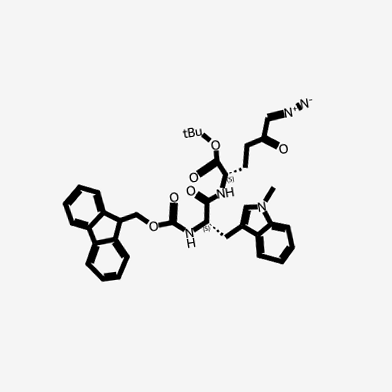 Cn1cc(C[C@H](NC(=O)OCC2c3ccccc3-c3ccccc32)C(=O)N[C@@H](CCC(=O)C=[N+]=[N-])C(=O)OC(C)(C)C)c2ccccc21